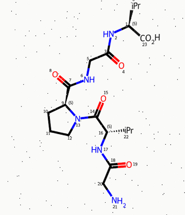 CC(C)[C@H](NC(=O)CNC(=O)[C@@H]1CCCN1C(=O)[C@@H](NC(=O)CN)C(C)C)C(=O)O